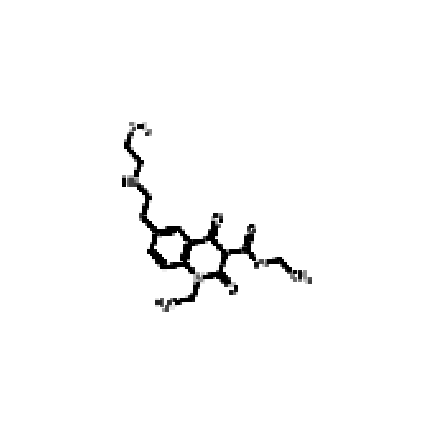 CCOC(=O)C1C(=O)c2cc(CCNCCN)ccc2N(CC)C1=O